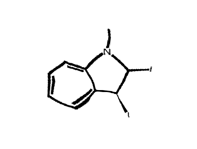 CN1c2ccccc2[C@H](I)C1I